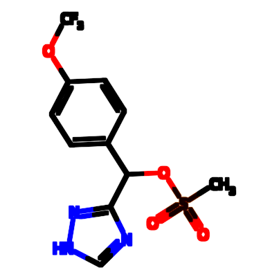 CS(=O)(=O)OC(c1ccc(OC(F)(F)F)cc1)c1nc[nH]n1